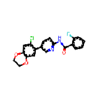 O=C(Nc1ccc(-c2cc3c(cc2Cl)OCCO3)cn1)c1ccccc1F